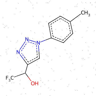 Cc1ccc(-n2cc(C(O)C(F)(F)F)nn2)cc1